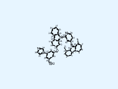 Cc1cccc2c3cccc(C)c3n(-c3ccnc(-n4c5ccccc5c5ccc(Oc6cc(-n7ccnc7)cc(C(C)(C)C)c6)cc54)c3)c12